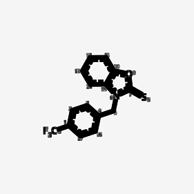 FC(F)(F)c1ccc(Cn2c(=S)oc3ccccc32)cc1